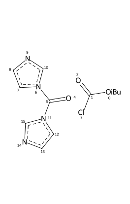 CC(C)COC(=O)Cl.O=C(n1ccnc1)n1ccnc1